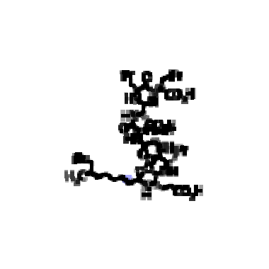 CCC(C)CC(C)CCC/C=C/C(=O)N[C@@H](CCC(=O)O)C(=O)N[C@@H](CC(C)C)C(=O)N[C@@H](CC(C)C)C(=O)N[C@@H](C(=O)N[C@@H](CC(=O)O)C(=O)N[C@@H](CC(C)C)C(=O)N[C@@H](CC(C)C)C(=O)O)C(C)C